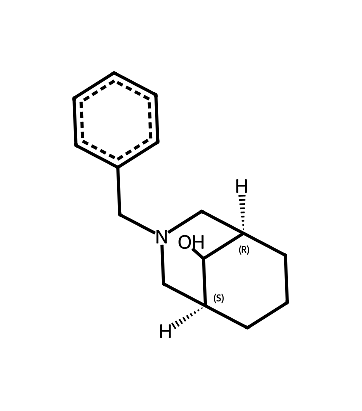 OC1[C@@H]2CCC[C@H]1CN(Cc1ccccc1)C2